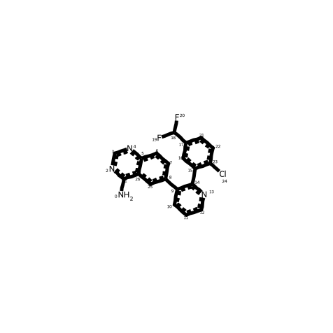 Nc1ncnc2ccc(-c3cccnc3-c3cc(C(F)F)ccc3Cl)cc12